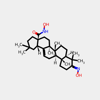 CC1(C)CC[C@]2(C(=O)NO)CC[C@]3(C)C(=CC[C@@H]4[C@@]5(C)CC/C(=N\O)C(C)(C)[C@@H]5CC[C@]43C)[C@@H]2C1